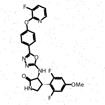 COc1cc(F)c([C@@H]2CNC(=O)[C@H]2Nc2nnc(-c3ccc(Oc4ncccc4F)cc3)o2)c(F)c1